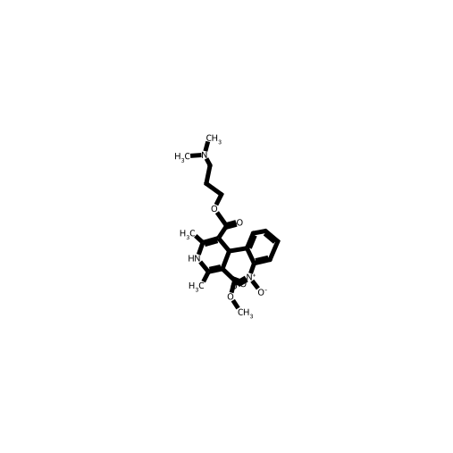 COC(=O)C1=C(C)NC(C)=C(C(=O)OCCCN(C)C)C1c1ccccc1[N+](=O)[O-]